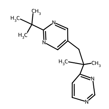 CC(C)(C)c1ncc(CC(C)(C)c2ccncn2)cn1